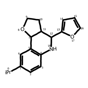 CC(C)c1ccc2c(c1)C1OCCC1C(c1ccco1)N2